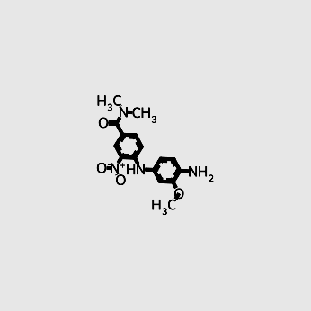 COc1cc(Nc2ccc(C(=O)N(C)C)cc2[N+](=O)[O-])ccc1N